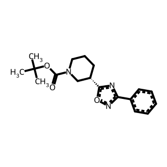 CC(C)(C)OC(=O)N1CCC[C@H](c2nc(-c3ccccc3)no2)C1